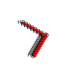 CCC(CO)C(=O)O.CCCC(=O)O.CCCC(=O)O.CCCC(=O)O.CCCC(=O)O.CCCC(=O)O.CCCC(=O)O.CCCC(=O)O.CCCC(=O)O.CCCC(=O)O.CCCC(=O)O.CCCC(=O)O.CCCC(=O)O.CCCC(=O)O.CCCC(=O)O.CCCC(=O)O.CCCC(=O)O.CCCC(=O)O.CCCC(=O)O.CCCC(=O)O